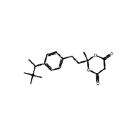 CC(c1ccc(CCC2(C)OC(=O)CC(=O)O2)cc1)C(C)(C)C